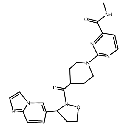 CNC(=O)c1ccnc(N2CCC(C(=O)N3OCCC3c3ccc4nccn4c3)CC2)n1